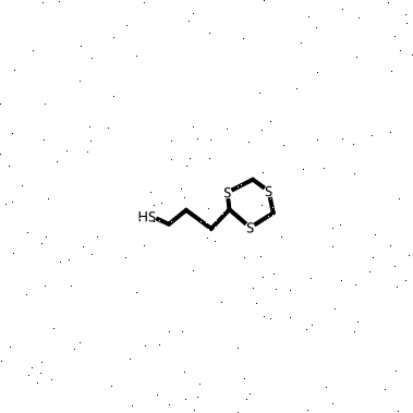 SCCCC1SCSCS1